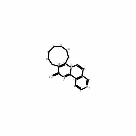 O=c1nc2c3ccncc3ccn2c2c1CCCCCCC2